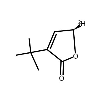 [2H][C@@H]1C=C(C(C)(C)C)C(=O)O1